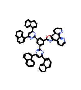 c1ccc2c(-c3cc(-c4cccc5ccccc45)nc(-c4cc(-c5nc(-c6cccc7ccccc67)cc(-c6cccc7ccccc67)n5)cc(-c5nc6c7cccnc7c7ncccc7c6o5)c4)n3)cccc2c1